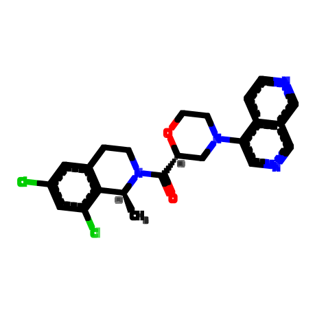 C[C@H]1c2c(Cl)cc(Cl)cc2CCN1C(=O)[C@H]1CN(c2cncc3cnccc23)CCO1